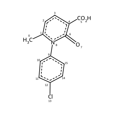 Cc1ccc(C(=O)O)c(=O)n1-c1ccc(Cl)cc1